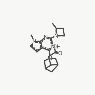 CC1CCN1c1nc(N2CC3CC(C2)C3CC(=O)O)c2ccn(C)c2n1